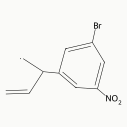 [CH2]C(C=C)c1cc(Br)cc([N+](=O)[O-])c1